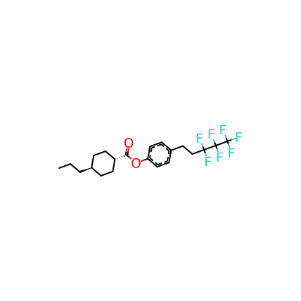 CCC[C@H]1CC[C@H](C(=O)Oc2ccc(CCC(F)(F)C(F)(F)C(F)(F)F)cc2)CC1